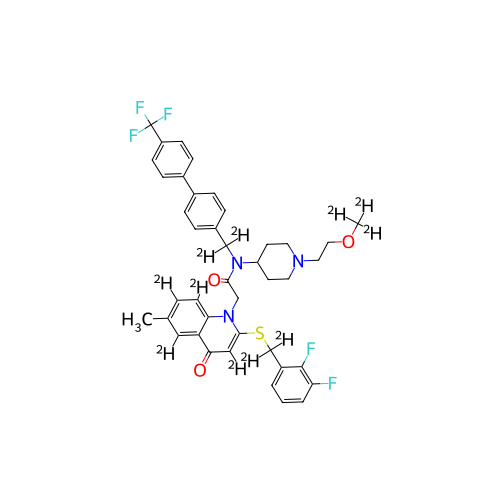 [2H]c1c(C)c([2H])c2c(=O)c([2H])c(SC([2H])([2H])c3cccc(F)c3F)n(CC(=O)N(C3CCN(CCOC([2H])([2H])[2H])CC3)C([2H])([2H])c3ccc(-c4ccc(C(F)(F)F)cc4)cc3)c2c1[2H]